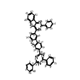 c1ccc(-c2nc(-c3ccccc3)nc(-c3ccc4c(c3)sc3ccc(-c5nc(-c6ccccc6)nc6c5sc5ccccc56)cc34)n2)cc1